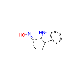 ON=C1CC=CC2c3ccccc3NC12